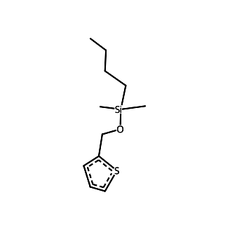 CCCC[Si](C)(C)OCc1cccs1